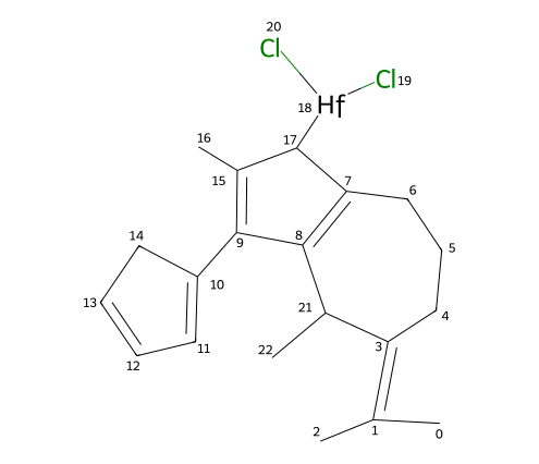 CC(C)=C1CCCC2=C(C(C3=CC=CC3)=C(C)[CH]2[Hf]([Cl])[Cl])C1C